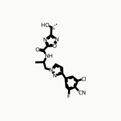 CC(Cn1ccc(-c2cc(F)c(C#N)c(Cl)c2)n1)NC(=O)c1nc([C@@H](C)O)no1